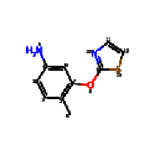 Cc1ccc(N)cc1Oc1nccs1